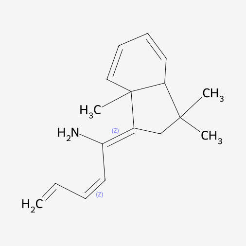 C=C/C=C\C(N)=C1/CC(C)(C)C2C=CC=CC12C